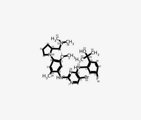 COc1cc(Nc2ncc(Br)c(Nc3cc(F)ccc3C(C)(C)O)n2)c(C)cc1N1CCCC1CN(C)C